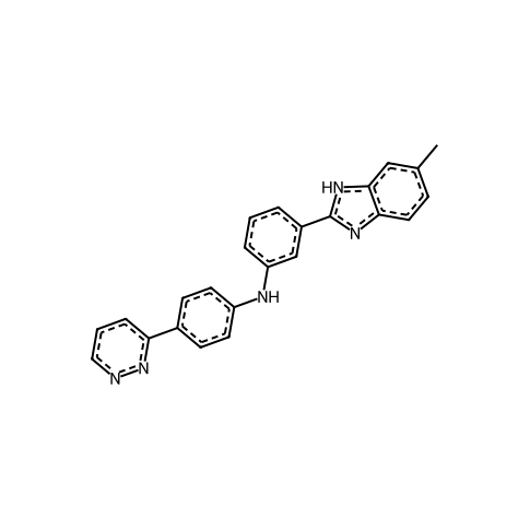 Cc1ccc2nc(-c3cccc(Nc4ccc(-c5cccnn5)cc4)c3)[nH]c2c1